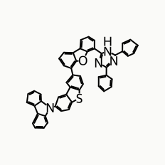 c1ccc(C2=NC(c3ccccc3)NC(c3cccc4c3oc3c(-c5ccc6sc7ccc(-n8c9ccccc9c9ccccc98)cc7c6c5)cccc34)=N2)cc1